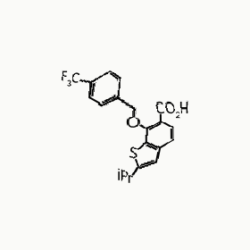 CC(C)c1cc2ccc(C(=O)O)c(OCc3ccc(C(F)(F)F)cc3)c2s1